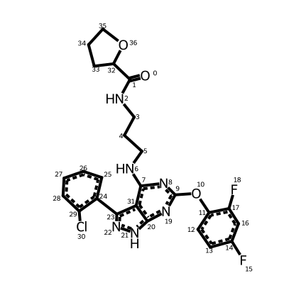 O=C(NCCCNc1nc(Oc2ccc(F)cc2F)nc2[nH]nc(-c3ccccc3Cl)c12)C1CCCO1